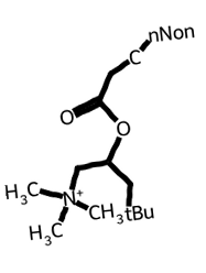 CCCCCCCCCCCC(=O)OC(CC(C)(C)C)C[N+](C)(C)C